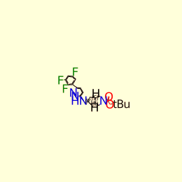 CC(C)(C)OC(=O)N1C[C@H]2C[C@@H](Nc3ccc(-c4cc(F)cc(F)c4F)nn3)C[C@H]2C1